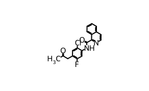 CC(=O)Cc1cc(Cl)c(NC(=O)c2nccc3ccccc23)cc1F